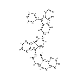 c1ccc(-n2c3ccccc3c3ccc(-c4ccc5c(c4)c4ccccc4n5-c4ncc5ccc6ccccc6c5n4)cc32)cc1